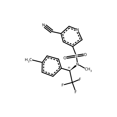 Cc1ccc([C@@H](N(C)S(=O)(=O)c2cncc(C#N)c2)C(F)(F)F)cc1